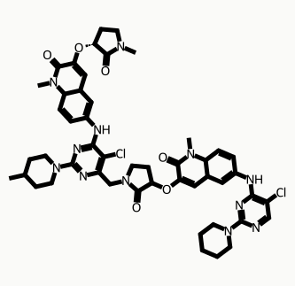 CC1CCN(c2nc(CN3CCC(OC4=CC5C=C(Nc6nc(N7CCCCC7)ncc6Cl)C=CC5N(C)C4=O)C3=O)c(Cl)c(NC3=CC4C=C(O[C@@H]5CCN(C)C5=O)C(=O)N(C)C4C=C3)n2)CC1